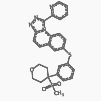 CS(=O)(=O)C1(c2cccc(Sc3ccc4c(ccc5nnc(-c6ccccn6)n54)c3)c2)CCOCC1